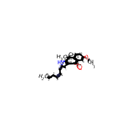 C=CC/C=C\C=C1/CC2=C(N1)C(C)(C)C1=C(C=C(OC)CC1)C2=O